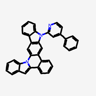 c1ccc(-c2ccnc(-n3c4ccccc4c4cc5c(cc43)c3ccccc3c3cc4ccccc4n35)c2)cc1